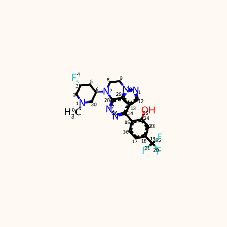 CN1C[C@H](F)C[C@@H](N2CCn3ncc4c(-c5ccc(C(F)(F)F)cc5O)nnc2c43)C1